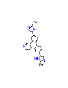 CC(C)c1ncc(-c2ccc3c4ccc(-c5cnc(C(C)C)[nH]5)cc4c4cnccc4c3c2)[nH]1